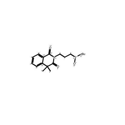 CC1(C)C(=O)N(CCC[S+]([O-])C(C)(C)C)C(=O)c2ccccc21